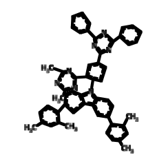 Cc1ccc(-c2ccc3c(c2)c2cc(-c4ccc(C)cc4C)ccc2n3-c2ccc(-c3nc(-c4ccccc4)nc(-c4ccccc4)n3)cc2-c2nc(C)nc(C)n2)c(C)c1